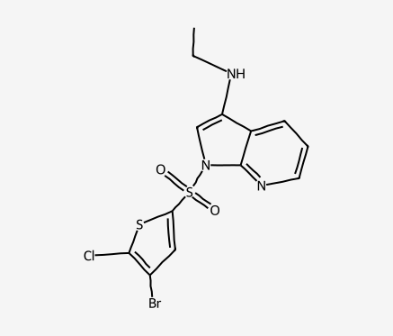 CCNc1cn(S(=O)(=O)c2cc(Br)c(Cl)s2)c2ncccc12